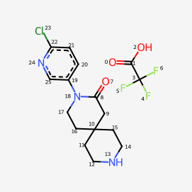 O=C(O)C(F)(F)F.O=C1CC2(CCNCC2)CCN1c1ccc(Cl)nc1